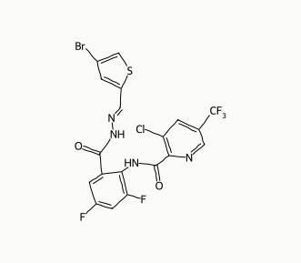 O=C(NN=Cc1cc(Br)cs1)c1cc(F)cc(F)c1NC(=O)c1ncc(C(F)(F)F)cc1Cl